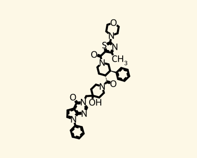 Cc1nc(N2CCOCC2)sc1C(=O)N1CC[C@@H](C(=O)N2CCC(O)(Cn3cnc4c(ccn4-c4ccccc4)c3=O)CC2)[C@H](c2ccccc2)C1